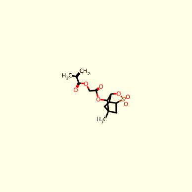 C=C(C)C(=O)OCC(=O)OC1C2OS(=O)(=O)C3CC1(C)CC23